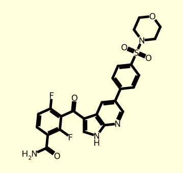 NC(=O)c1ccc(F)c(C(=O)c2c[nH]c3ncc(-c4ccc(S(=O)(=O)N5CCOCC5)cc4)cc23)c1F